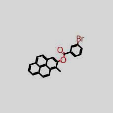 Cc1c(OC(=O)c2cccc(Br)c2)cc2ccc3cccc4ccc1c2c34